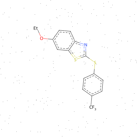 CCOc1ccc2nc(Sc3ccc(C(F)(F)F)cc3)sc2c1